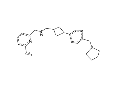 Cc1cccc(CNCC2CC(c3ccc(CN4CCCC4)cc3)C2)n1